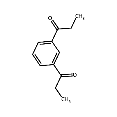 CCC(=O)c1cccc(C(=O)CC)c1